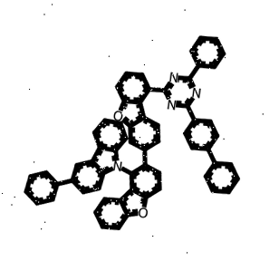 c1ccc(-c2ccc(-c3nc(-c4ccccc4)nc(-c4cccc5oc6cc(-c7ccc8oc9ccccc9c8c7-n7c8ccccc8c8cc(-c9ccccc9)ccc87)ccc6c45)n3)cc2)cc1